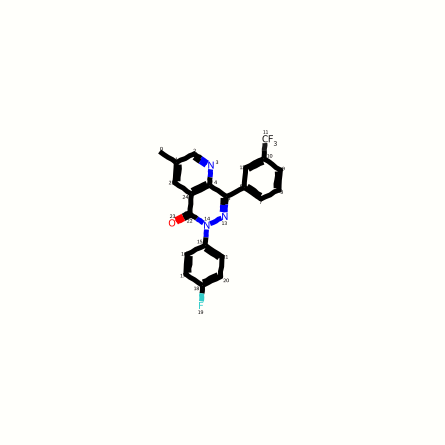 Cc1cnc2c(-c3cccc(C(F)(F)F)c3)nn(-c3ccc(F)cc3)c(=O)c2c1